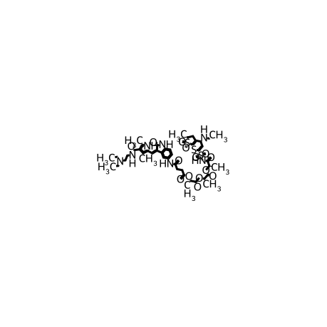 CCN[C@H]1C=C(S(=O)(=O)NC(=O)[C@H](C)OC(=O)[C@H](C)OC(=O)[C@H](C)OC(=O)CCC(=O)Nc2ccc3c(c2)/C(=C/c2[nH]c(C)c(C(=O)NCCN(CC)CC)c2C)C(=O)N3)SC2=C1C[C@H](C)S2(=O)=O